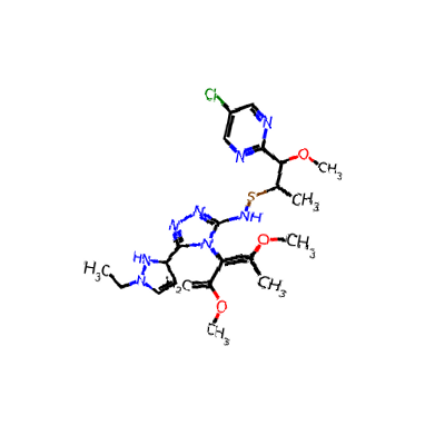 C=C(OC)/C(=C(\C)OC)n1c(NSC(C)C(OC)c2ncc(Cl)cn2)nnc1C1C=CN(CC)N1